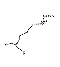 O=CNCCCC(F)F